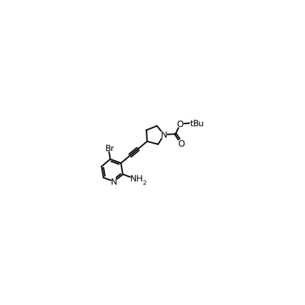 CC(C)(C)OC(=O)N1CCC(C#Cc2c(Br)ccnc2N)C1